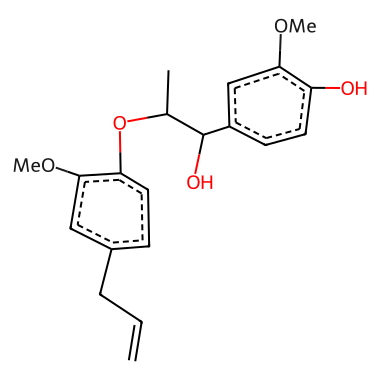 C=CCc1ccc(OC(C)C(O)c2ccc(O)c(OC)c2)c(OC)c1